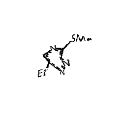 CCc1cnc(SC)nn1